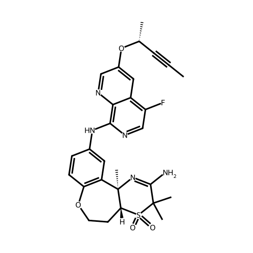 CC#C[C@@H](C)Oc1cnc2c(Nc3ccc4c(c3)[C@@]3(C)N=C(N)C(C)(C)S(=O)(=O)[C@@H]3CCO4)ncc(F)c2c1